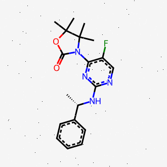 C[C@H](Nc1ncc(F)c(N2C(=O)OC(C)(C)C2(C)C)n1)c1ccccc1